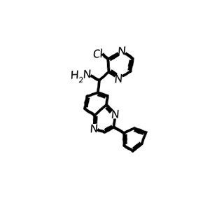 NC(c1ccc2ncc(-c3ccccc3)nc2c1)c1nccnc1Cl